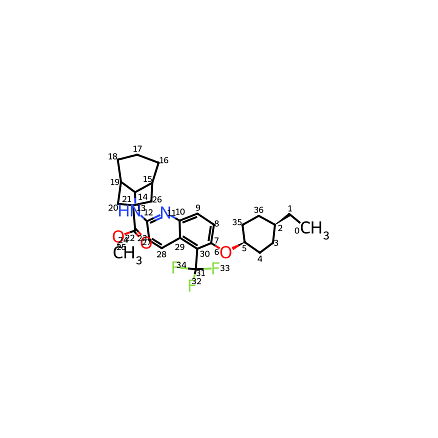 CC[C@H]1CC[C@@H](Oc2ccc3nc(NC4C5CCCC4CC(C(=O)OC)C5)ccc3c2C(F)(F)F)CC1